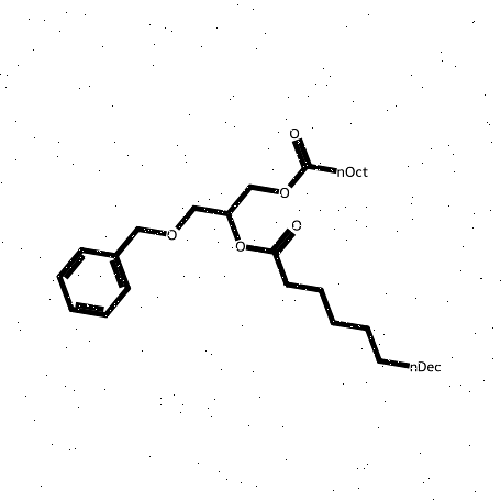 CCCCCCCCCCCCCCCC(=O)OC(COCc1ccccc1)COC(=O)CCCCCCCC